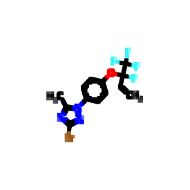 C=CC(F)(Oc1ccc(-n2nc(Br)nc2C)cc1)C(F)(F)F